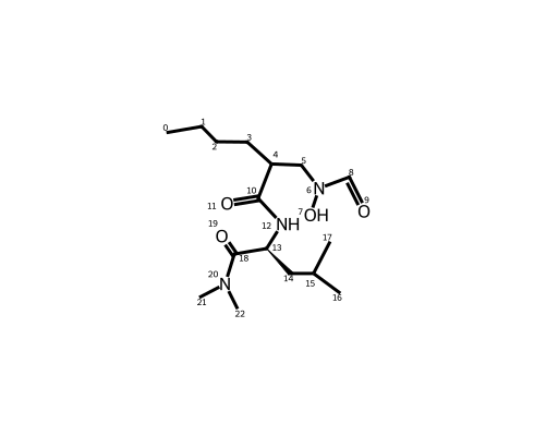 CCCCC(CN(O)C=O)C(=O)N[C@@H](CC(C)C)C(=O)N(C)C